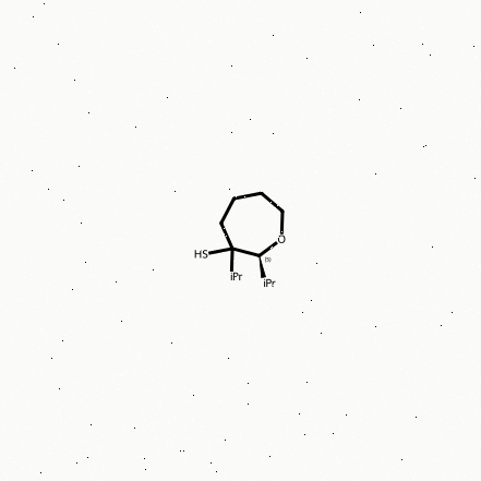 CC(C)[C@@H]1OCCCCC1(S)C(C)C